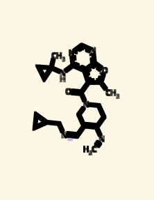 C=NC1=C(/C=N\CC2CC2)CN(C(=O)c2c(C)oc3ncnc(NC4(C)CC4)c23)CC1